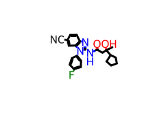 CC(O)(CC(=O)Nc1nc2ccc(C#N)cc2n1-c1ccc(F)cc1)C1CCCC1